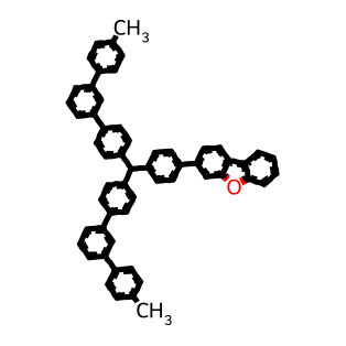 Cc1ccc(-c2cccc(-c3ccc(C(c4ccc(-c5cccc(-c6ccc(C)cc6)c5)cc4)c4ccc(-c5ccc6c(c5)oc5ccccc56)cc4)cc3)c2)cc1